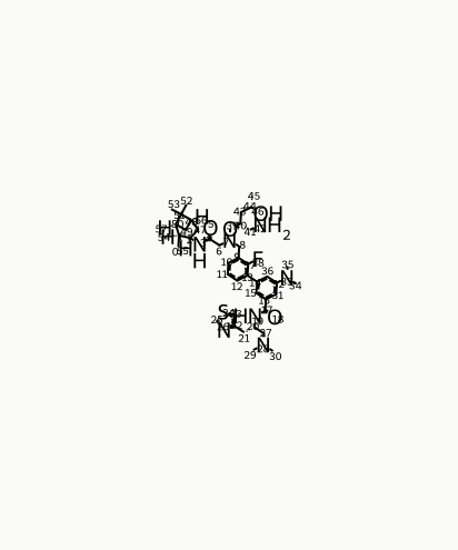 C[C@@H]1[C@@H](NC(=O)CN(Cc2cccc(-c3cc(C(=O)N[C@@H](Cc4cscn4)CN(C)C)cc(N(C)C)c3)c2F)O[C@@H](CN)C[C@H](C)O)C[C@H]2C[C@@H]1C2(C)C